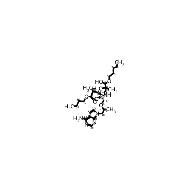 CCCCCOC(O)C(C)(C)N[P@@](=O)(CO[C@H](C)Cn1cnc2c(N)ncnc21)N[C@H](C)C(=O)OCCCC